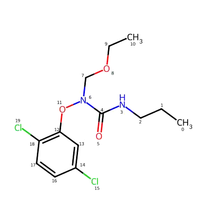 CCCNC(=O)N(COCC)Oc1cc(Cl)ccc1Cl